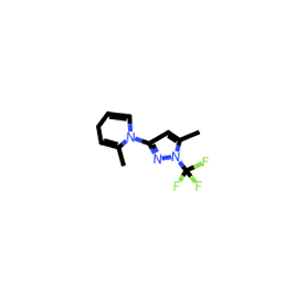 CC1=CCC=CN1c1cc(C)n(C(F)(F)F)n1